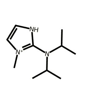 CC(C)N(c1[nH]cc[n+]1C)C(C)C